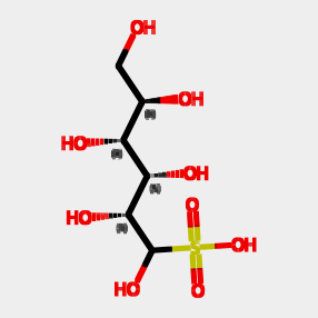 O=S(=O)(O)C(O)[C@H](O)[C@@H](O)[C@H](O)[C@H](O)CO